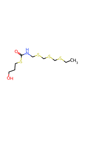 CCSCSCSCNC(=O)SCCCO